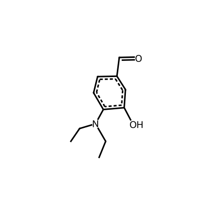 CCN(CC)c1ccc(C=O)cc1O